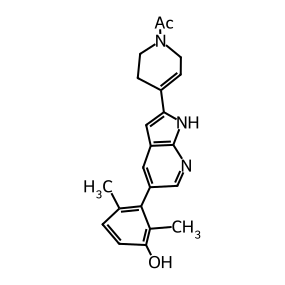 CC(=O)N1CC=C(c2cc3cc(-c4c(C)ccc(O)c4C)cnc3[nH]2)CC1